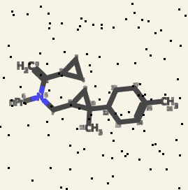 C=C(C1CC1)N(CCC)CC1CC1(C)C1CC=C(C)CC1